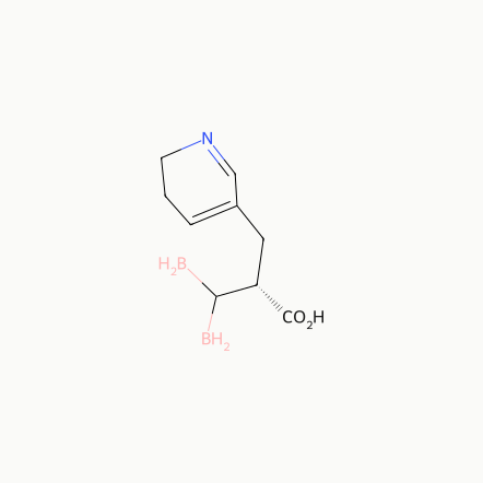 BC(B)[C@H](CC1=CCCN=C1)C(=O)O